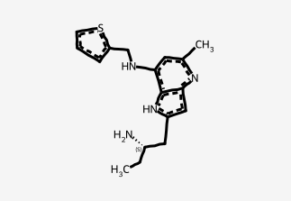 CC[C@H](N)Cc1cc2nc(C)cc(NCc3cccs3)c2[nH]1